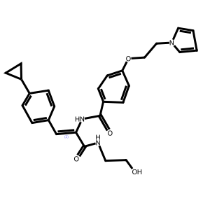 O=C(NCCO)/C(=C/c1ccc(C2CC2)cc1)NC(=O)c1ccc(OCCn2cccc2)cc1